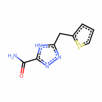 NC(=O)c1nnc(Cc2cccs2)[nH]1